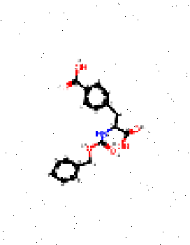 O=C(NC(Cc1ccc(C(=O)O)cc1)C(=O)O)OCc1ccccc1